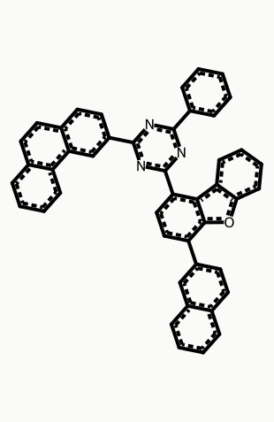 c1ccc(-c2nc(-c3ccc4ccc5ccccc5c4c3)nc(-c3ccc(-c4ccc5ccccc5c4)c4oc5ccccc5c34)n2)cc1